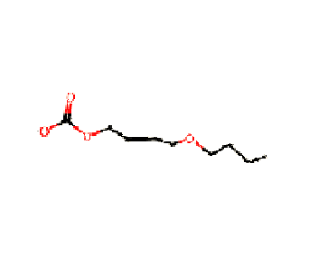 CCCCOCCCCOC([O])=O